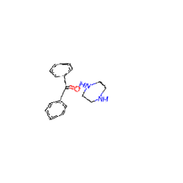 C1CNCCN1.O=C(c1ccccc1)c1ccccc1